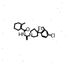 C=C(NC(=O)C1=C(C)CCCC1)N1CCC(CC)(c2ccc(Cl)cc2C)CC1